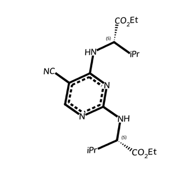 CCOC(=O)[C@@H](Nc1ncc(C#N)c(N[C@H](C(=O)OCC)C(C)C)n1)C(C)C